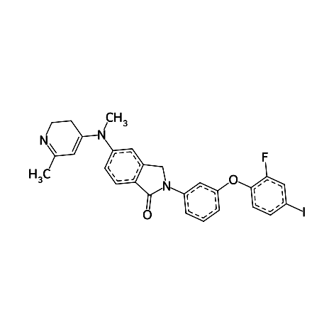 CC1=NCCC(N(C)c2ccc3c(c2)CN(c2cccc(Oc4ccc(I)cc4F)c2)C3=O)=C1